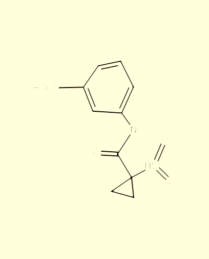 O=C(O)c1cccc(NC(=O)C2([SH](=O)=O)CC2)c1